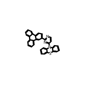 c1ccc2c(c1)Sc1ccccc1N2c1ccnc(-c2ccc3c4ccccc4c4ccccc4c3c2)n1